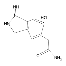 Cl.N=C1NCc2cc(CC(N)=O)ccc21